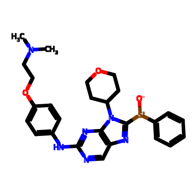 CN(C)CCOc1ccc(Nc2ncc3nc([S+]([O-])c4ccccc4)n(C4CCOCC4)c3n2)cc1